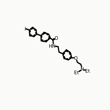 CCN(CC)CCOc1ccc(CCNC(=O)c2ccc(-c3ccc(I)cc3)cc2)cc1